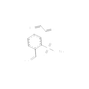 C=CC=O.C=Cc1ccccc1S(=O)(=O)[O-].[Na+]